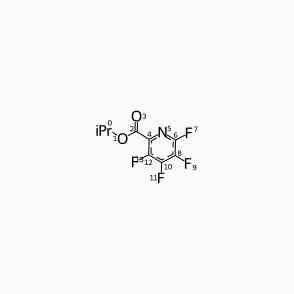 CC(C)OC(=O)c1nc(F)c(F)c(F)c1F